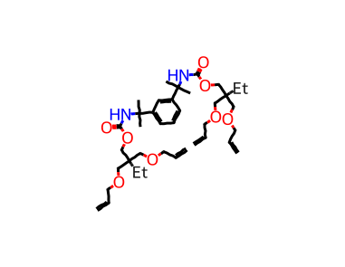 C=CCOCC(CC)(COCC=C)COC(=O)NC(C)(C)c1cccc(C(C)(C)NC(=O)OCC(CC)(COCC=C)COCC=C)c1